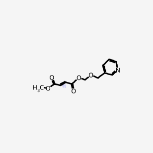 COC(=O)/C=C/C(=O)OCOCc1cccnc1